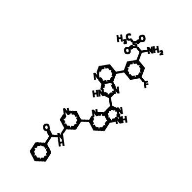 CS(=O)(=O)C(N)c1cc(F)cc(-c2ccnc3[nH]c(-c4n[nH]c5ccc(-c6cncc(NC(=O)c7ccccc7)c6)nc45)nc23)c1